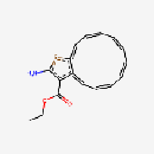 CCOC(=O)c1c(N)sc2c1=CC=CC=CC=CC=CC=2